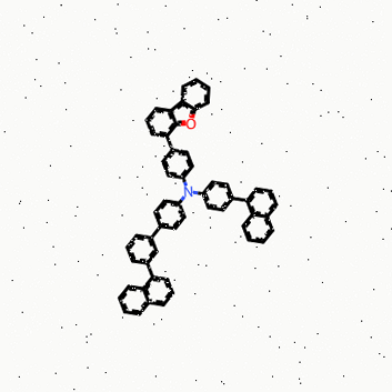 c1cc(-c2ccc(N(c3ccc(-c4cccc5ccccc45)cc3)c3ccc(-c4cccc5c4oc4ccccc45)cc3)cc2)cc(-c2cccc3ccccc23)c1